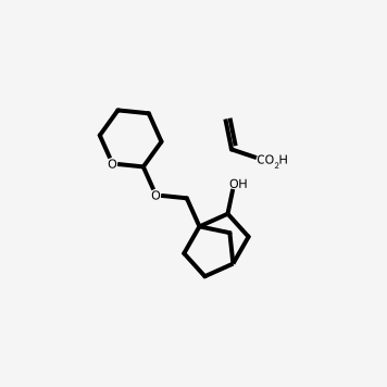 C=CC(=O)O.OC1CC2CCC1(COC1CCCCO1)C2